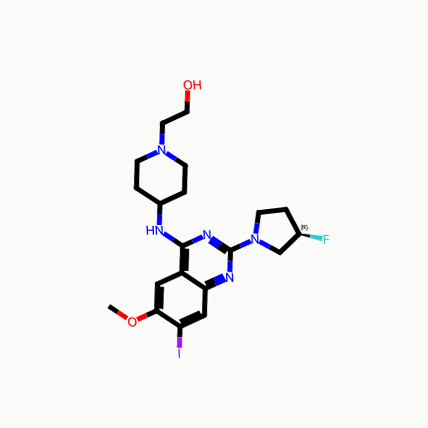 COc1cc2c(NC3CCN(CCO)CC3)nc(N3CC[C@@H](F)C3)nc2cc1I